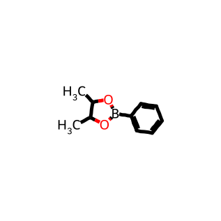 CC1OB(c2ccccc2)OC1C